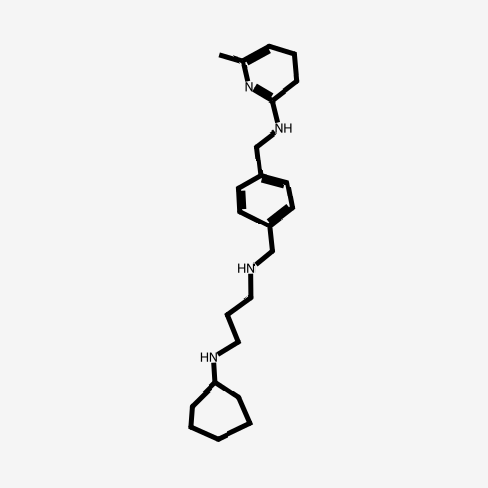 CC1=CCCC(NCc2ccc(CNCCCNC3CCCCC3)cc2)=N1